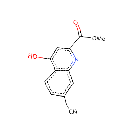 COC(=O)c1cc(O)c2ccc(C#N)cc2n1